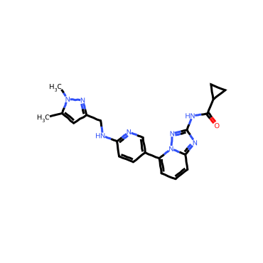 Cc1cc(CNc2ccc(-c3cccc4nc(NC(=O)C5CC5)nn34)cn2)nn1C